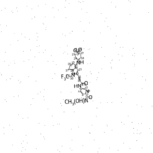 CN(O)C(=O)c1ccc(NC(=O)C#Cc2cc3c(NC4CCS(=O)(=O)CC4)cccc3n2CC(F)(F)F)cn1